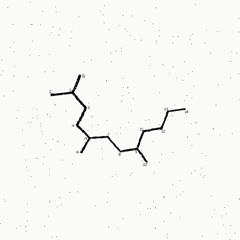 [CH2]C(C)CCC(C)CCC(C)CCCC